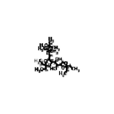 CCC1(CC)OCC(C(O)C(O)C2OC(CC)(CC)OC2CO[Si](C)(C)C(C)(C)C)O1